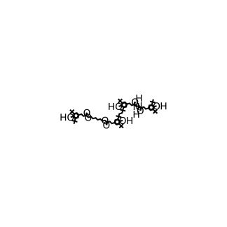 CC(C)(C)c1cc(CCC(=O)NNC(=O)CCc2cc(C(C)(C)C)c(O)c(C(C)(C)CCC(C)(C)c3cc(CCC(=O)OCCCCCCOC(=O)CCc4cc(C(C)(C)C)c(O)c(C(C)(C)C)c4)cc(C(C)(C)C)c3O)c2)cc(C(C)(C)C)c1O